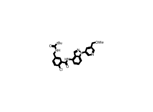 COCc1cncc(-n2ncc3c(NC(=O)c4cc(CNC(=O)C(C)(C)C)ccc4Cl)cccc32)c1